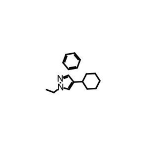 CCn1cc(C2CCCCC2)cn1.c1ccccc1